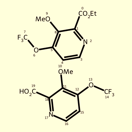 CCOC(=O)c1nccc(OC(F)(F)F)c1OC.COc1c(OC(F)(F)F)ccnc1C(=O)O